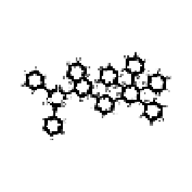 c1ccc(-c2nc(-c3ccccc3)nc(-c3cc(-c4cccc(-c5cc(-c6ccccc6)c(-c6ccccc6)c(-c6ccccc6)c5-c5ccccc5)c4)cc4ccccc34)n2)cc1